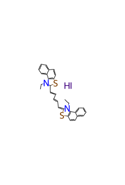 CCN1C(=CC=CC=CC2Sc3ccc4ccccc4c3N2CC)Sc2ccc3ccccc3c21.I